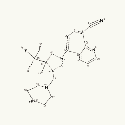 N#Cc1ccc(N2CC3(CN4CCNCC4)CC3(C(F)(F)F)C2)c2cccnc12